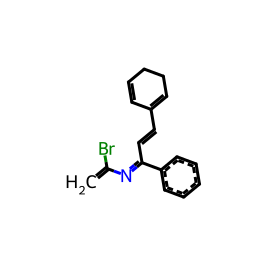 C=C(Br)/N=C(\C=C\C1=CCCC=C1)c1ccccc1